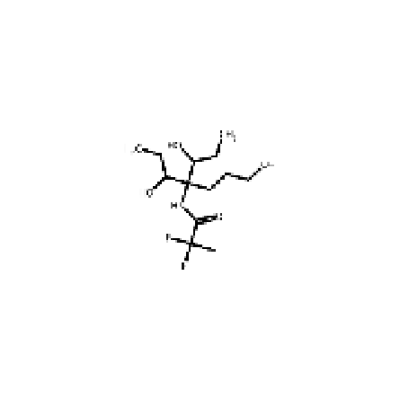 CCC(O)C(CCCO)(NC(=O)C(F)(F)F)C(O)CC